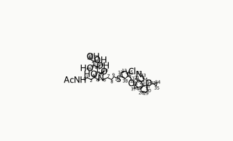 CC(=O)NCCCCN(CCCCSc1ccc(Cl)c(COC2(c3cnccc3-c3ccccc3OC3CC3)CC2)c1)C(=O)C(O)C(O)C(O)C(O)CO